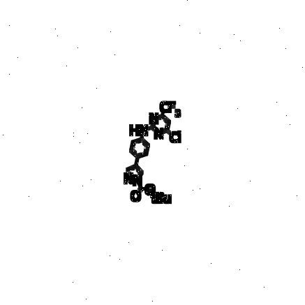 CC(C)(C)OC(=O)n1cc(-c2ccc(Nc3nc(Cl)cc(C(F)(F)F)n3)cc2)cn1